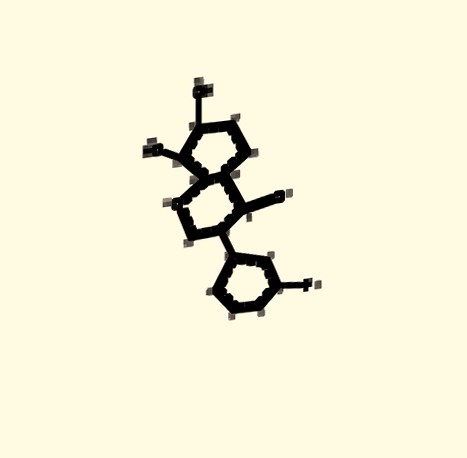 O=c1c(-c2cccc(F)c2)coc2c(O)c(O)ccc12